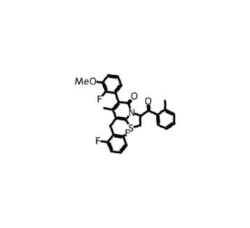 COc1cccc(-c2c(C)c(Cc3c(F)cccc3F)c3n(c2=O)C(C(=O)c2ccccc2C)CS3)c1F